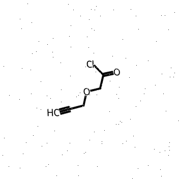 C#CCOCC(=O)Cl